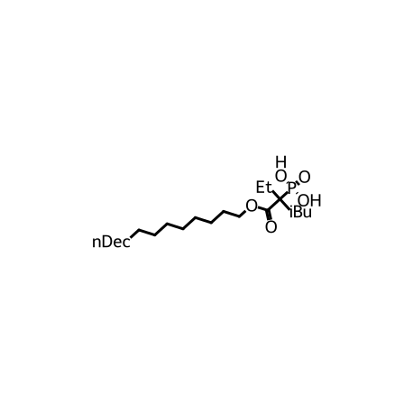 CCCCCCCCCCCCCCCCCCOC(=O)C(CC)(C(C)CC)P(=O)(O)O